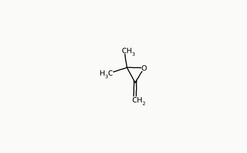 C=C1OC1(C)C